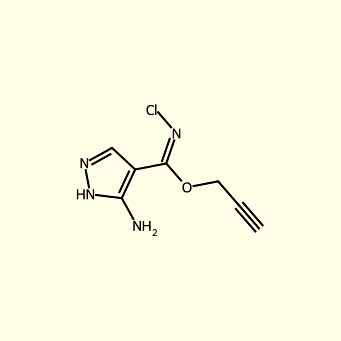 C#CCO/C(=N/Cl)c1cn[nH]c1N